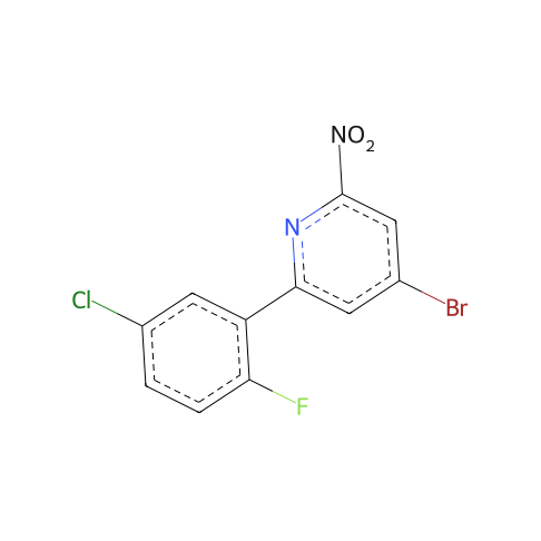 O=[N+]([O-])c1cc(Br)cc(-c2cc(Cl)ccc2F)n1